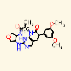 C=CC(=O)NC1COCC1Nc1ncc2cc(-c3cc(OC)cc(OC)c3)c(=O)n(C)c2n1